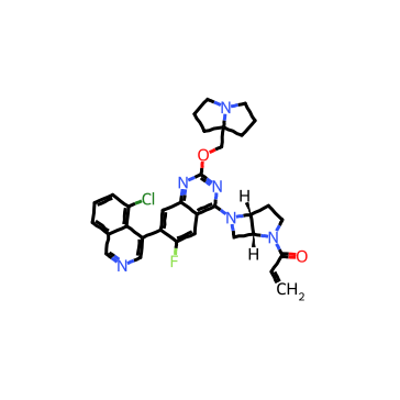 C=CC(=O)N1CC[C@@H]2[C@H]1CN2c1nc(OCC23CCCN2CCC3)nc2cc(-c3cncc4cccc(Cl)c34)c(F)cc12